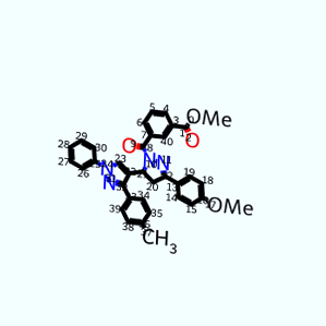 COC(=O)c1cccc(C(=O)N2N=C(c3ccc(OC)cc3)CC2c2cn(-c3ccccc3)nc2-c2ccc(C)cc2)c1